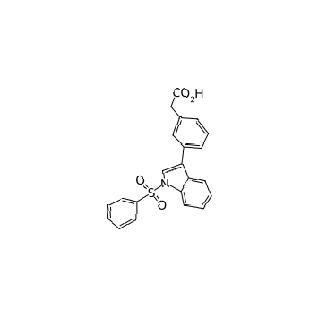 O=C(O)Cc1cccc(-c2cn(S(=O)(=O)c3ccccc3)c3ccccc23)c1